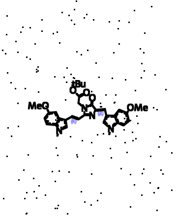 COc1ccc2c(c1)c(/C=C1N=C(/C=C/c3cn(C)c4ccc(OC)cc34)N(CC(=O)OC(C)(C)C)C\1=O)cn2C